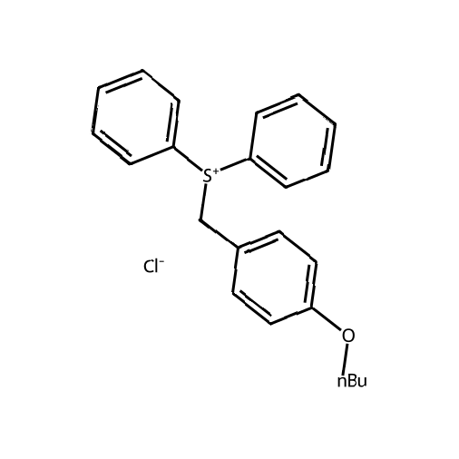 CCCCOc1ccc(C[S+](c2ccccc2)c2ccccc2)cc1.[Cl-]